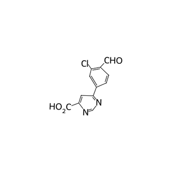 O=Cc1ccc(-c2cc(C(=O)O)ncn2)cc1Cl